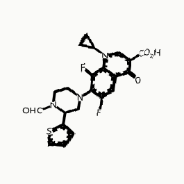 O=CN1CCN(c2c(F)cc3c(=O)c(C(=O)O)cn(C4CC4)c3c2F)CC1c1cccs1